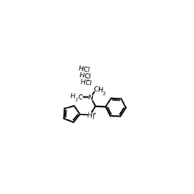 CN(C)[CH]([Hf][C]1=CC=CC1)c1ccccc1.Cl.Cl.Cl